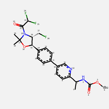 CC(NC(=O)OC(C)(C)C)c1ccc(-c2ccc([C@H]3OC(C)(C)N(C(=O)C(F)F)[C@@H]3CF)cc2)cn1